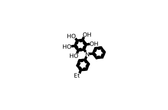 CCc1ccc(N(c2ccccc2)c2c(O)c(O)c(O)c(O)c2O)cc1